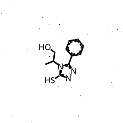 CC(CO)n1c(S)nnc1-c1ccccc1